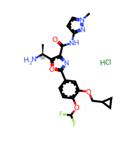 C[C@H](N)c1oc(-c2ccc(OC(F)F)c(OCC3CC3)c2)nc1C(=O)Nc1ccn(C)n1.Cl